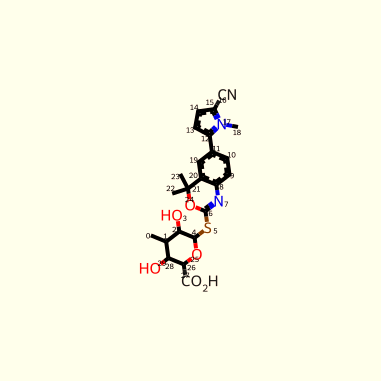 CC1C(O)C(SC2=Nc3ccc(-c4ccc(C#N)n4C)cc3C(C)(C)O2)OC(C(=O)O)C1O